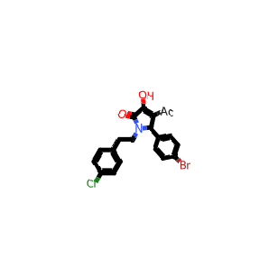 CC(=O)C1=C(O)C(=O)N(CCc2ccc(Cl)cc2)C1c1ccc(Br)cc1